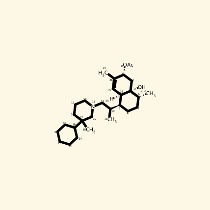 CC(=O)O[C@@H]1[CH][C@@]2(O)[C@H](C)CC[C@@H](C(C)CN3CCCC(C)(C4CCCCC4)C3)[C@H]2C=C1C